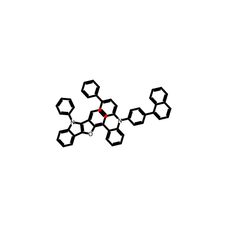 c1ccc(-c2ccc(N(c3ccc(-c4cccc5ccccc45)cc3)c3ccccc3-c3cccc4c3oc3c5ccccc5n(-c5ccccc5)c43)cc2)cc1